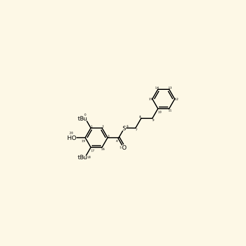 CC(C)(C)c1cc(C(=O)SCCCc2ccccc2)cc(C(C)(C)C)c1O